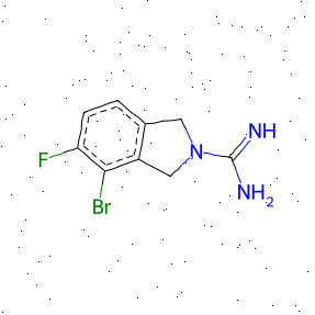 N=C(N)N1Cc2ccc(F)c(Br)c2C1